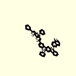 c1ccc(-c2cc3c(s2)c2sc(-c4ccc5c(c4)c4cc6c(cc4n5-c4ccccc4)c4ccccc4n6-c4ccc5ncccc5c4)cc2n3-c2ccccc2)cc1